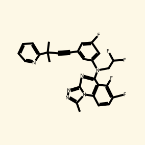 Cc1nnc2nc(N(CC(F)F)c3cc(F)cc(C#CC(C)(C)c4ccccn4)c3)c3c(F)c(F)ccc3n12